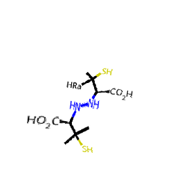 CC(C)(S)[C@H](NN[C@H](C(=O)O)[C](C)(S)[RaH])C(=O)O